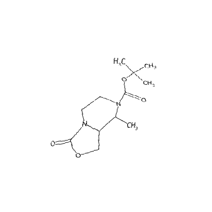 CC1C2COC(=O)N2CCN1C(=O)OC(C)(C)C